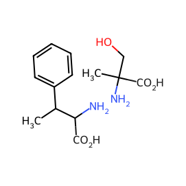 CC(N)(CO)C(=O)O.CC(c1ccccc1)C(N)C(=O)O